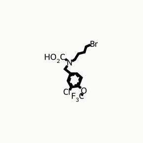 O=C(O)N(CCCCBr)Cc1ccc(OC(F)(F)F)c(Cl)c1